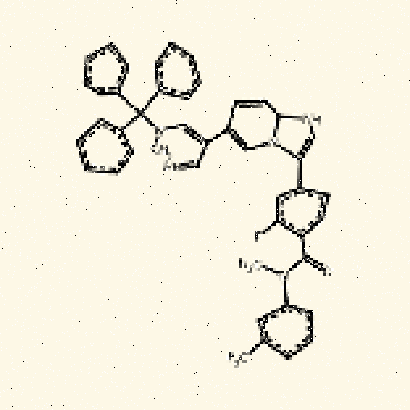 CN(C(=O)c1ccc(C2=CNC3C=CC(/C(C=N)=C/N(C)C(c4ccccc4)(c4ccccc4)c4ccccc4)=CN23)cc1F)c1cccc(C(F)(F)F)c1